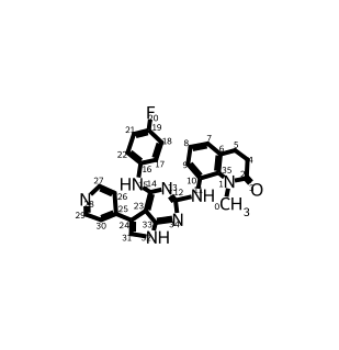 CN1C(=O)CCc2cccc(Nc3nc(Nc4ccc(F)cc4)c4c(-c5ccncc5)c[nH]c4n3)c21